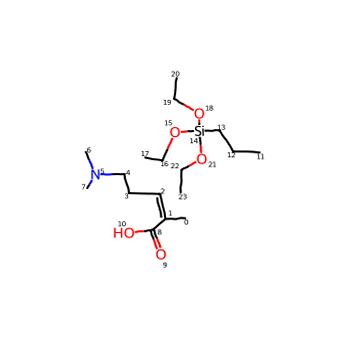 CC(=CCCN(C)C)C(=O)O.CCC[Si](OCC)(OCC)OCC